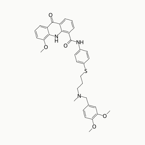 COc1ccc(CN(C)CCCSc2ccc(NC(=O)c3cccc4c(=O)c5cccc(OC)c5[nH]c34)cc2)cc1OC